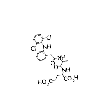 C[C@H](NC(=O)Cc1ccccc1Nc1c(Cl)cccc1Cl)C(=O)N[C@H](CCC(=O)O)C(=O)O